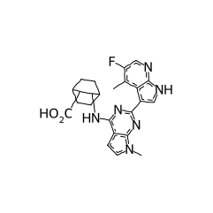 Cc1c(F)cnc2[nH]cc(-c3nc(NC4C5CCC(CC5)C4C(=O)O)c4ccn(C)c4n3)c12